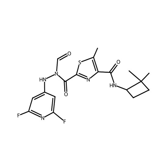 Cc1sc(C(=O)N(C=O)Nc2cc(F)nc(F)c2)nc1C(=O)NC1CCC1(C)C